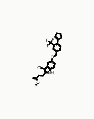 C=C(CCc1[nH]c2ccc(OCc3ccc(C4=CCCC4)c(C(F)(F)F)c3)cc2c1Cl)OC